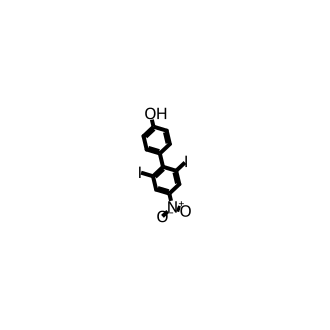 O=[N+]([O-])c1cc(I)c(-c2ccc(O)cc2)c(I)c1